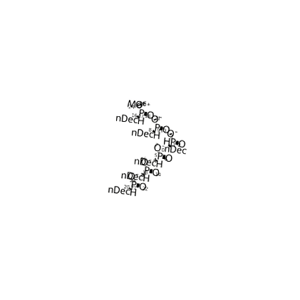 CCCCCCCCCC[PH](=O)[O-].CCCCCCCCCC[PH](=O)[O-].CCCCCCCCCC[PH](=O)[O-].CCCCCCCCCC[PH](=O)[O-].CCCCCCCCCC[PH](=O)[O-].CCCCCCCCCC[PH](=O)[O-].[Mo+6]